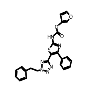 O=C(Nc1nc(-c2ccccc2)c(-c2nnn(CCc3ccccc3)n2)s1)Oc1ccoc1